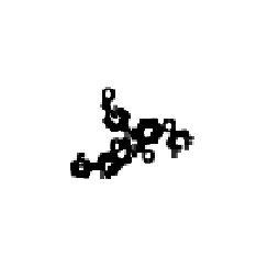 O=CN1CCC(n2c(=O)n(Cc3ccc(-c4cccs4)nc3)c(=O)c3cc(OC(CF)CF)ccc32)CC1